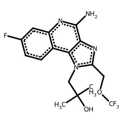 CC(C)(O)Cn1c(COC(F)(F)F)nc2c(N)nc3cc(F)ccc3c21